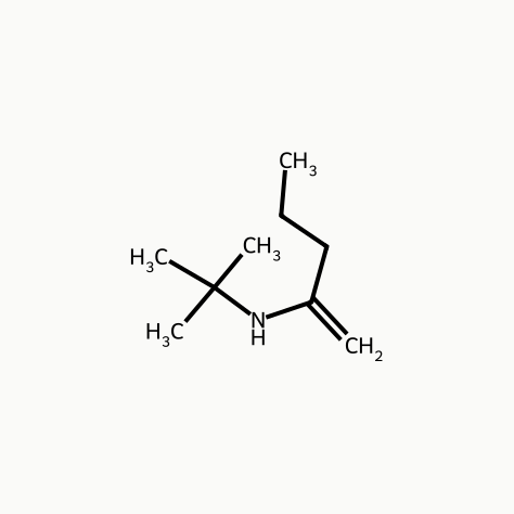 C=C(CCC)NC(C)(C)C